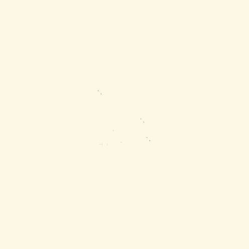 C[Si]1(C)c2ccc3ccccc3c2-c2nc(-c3ccccc3)nc(-c3ccc4c(c3)c3ccccc3n4-c3ccccc3)c21